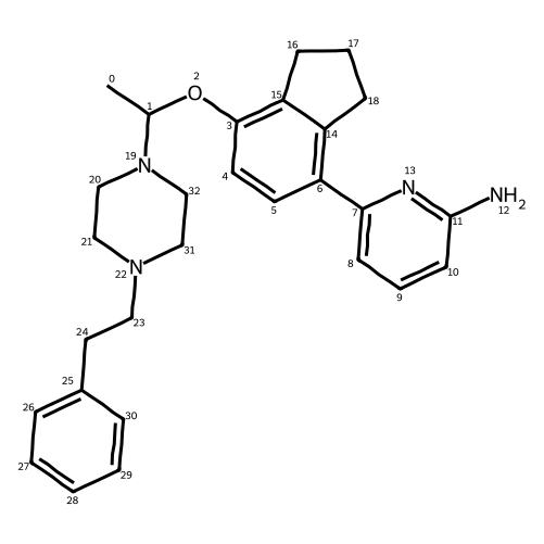 CC(Oc1ccc(-c2cccc(N)n2)c2c1CCC2)N1CCN(CCc2ccccc2)CC1